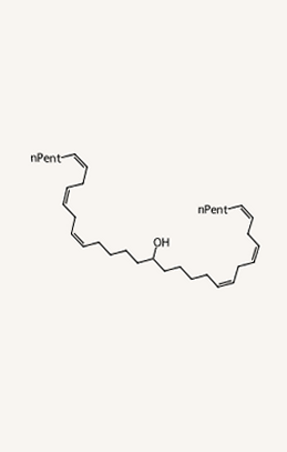 CCCCC/C=C\C/C=C\C/C=C\CCCCC(O)CCCC/C=C\C/C=C\C/C=C\CCCCC